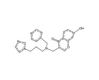 O=c1c(CN(CCCn2ccnc2)Cc2ccncc2)coc2cc(O)ccc12